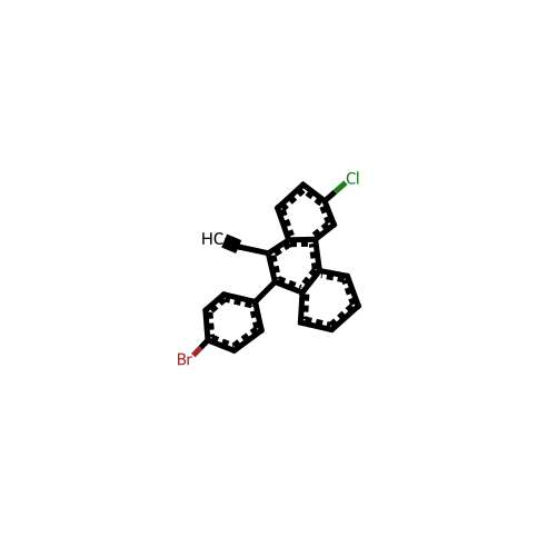 C#Cc1c(-c2ccc(Br)cc2)c2ccccc2c2cc(Cl)ccc12